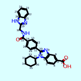 O=C(O)c1ccc2c(c1)nc(-c1ccc(C(=O)NCc3nc4ccccc4[nH]3)cc1)n2C1CCCCC1